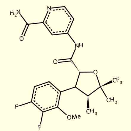 COc1c(C2[C@H](C(=O)Nc3ccnc(C(N)=O)c3)O[C@@](C)(C(F)(F)F)[C@H]2C)ccc(F)c1F